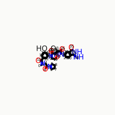 CN(CC(=O)N1CCCC1)C(=O)c1cccc(N2CCO[C@H]([C@@H](CC(=O)O)C(=O)Nc3ccc4c(c3)C(=O)NC4=N)C2=O)c1